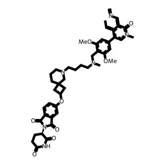 C=N/C=c1/c(=O)n(C)cc(-c2cc(OC)c(CN(C)CCCCN3CCCC4(CC(Oc5ccc6c(c5)C(=O)N([C@@H]5CCC(=O)NC5=O)C6=O)C4)C3)c(OC)c2)/c1=C/C